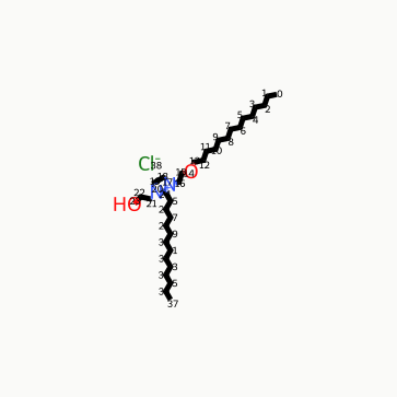 CCCCCCCCCCCCCCOCCN1CC[N+](CCO)=C1CCCCCCCCCCCCC.[Cl-]